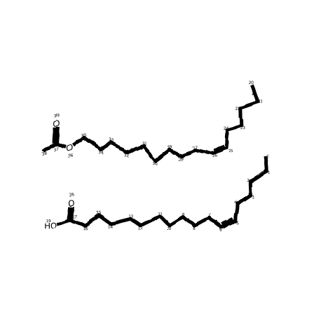 CCCCC/C=C\CCCCCCCCCCC(=O)O.CCCCC/C=C\CCCCCCCCCOC(C)=O